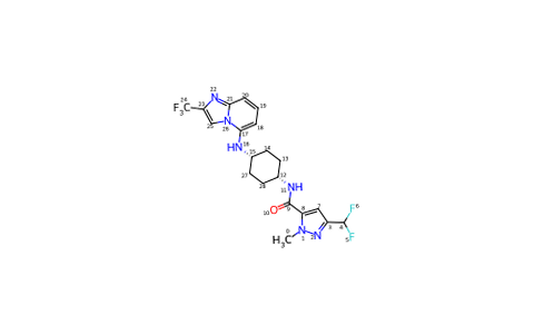 Cn1nc(C(F)F)cc1C(=O)N[C@H]1CC[C@@H](Nc2cccc3nc(C(F)(F)F)cn23)CC1